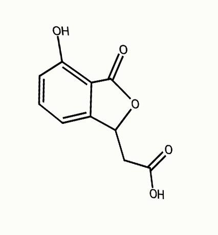 O=C(O)CC1OC(=O)c2c(O)cccc21